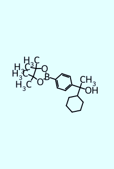 CC(O)(c1ccc(B2OC(C)(C)C(C)(C)O2)cc1)C1CCCCC1